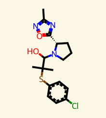 Cc1noc([C@@H]2CCCN2C(O)C(C)(C)Sc2ccc(Cl)cc2)n1